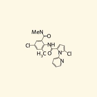 CNC(=O)c1cc(Cl)cc(C)c1NC(=O)c1ccc(Cl)n1-c1ccccn1